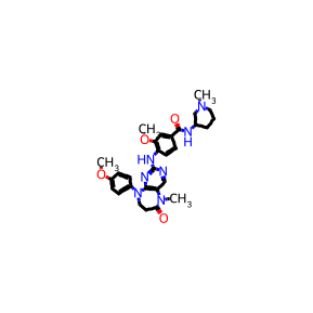 COc1ccc(N2CCC(=O)N(C)c3cnc(Nc4ccc(C(=O)NC5CCCN(C)C5)cc4OC)nc32)cc1